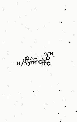 CC(=O)c1cccc(-c2nc3cc(C4=C[C@@H]5N=C(C6=CC(C(C)=O)CC=C6)C(c6ccccc6)=NC5C=C4)ccc3nc2-c2ccccc2)c1